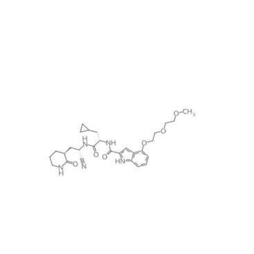 COCCOCCOc1cccc2[nH]c(C(=O)N[C@@H](CC3CC3)C(=O)N[C@H](C#N)C[C@@H]3CCCNC3=O)cc12